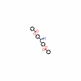 N#CC(Cc1ccc(OC(=O)c2ccccc2)cc1)c1ccc(OC(=O)c2ccccc2)cc1